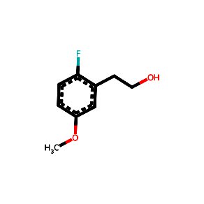 COc1ccc(F)c(CCO)c1